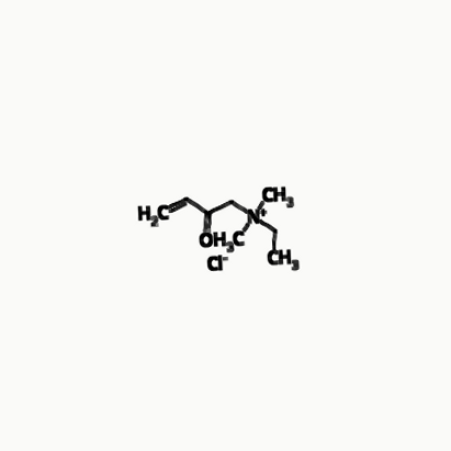 C=CC(=O)C[N+](C)(C)CC.[Cl-]